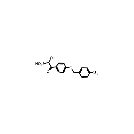 O=C(c1ccc(OCc2ccc(C(F)(F)F)cc2)cc1)C(O)S(=O)(=O)O